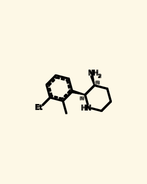 CCc1cccc([C@@H]2NCCC[C@@H]2N)c1C